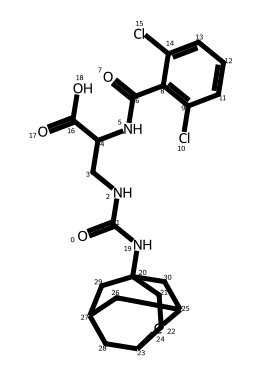 O=C(NCC(NC(=O)c1c(Cl)cccc1Cl)C(=O)O)NC12CCC3CC(CC(C3)C1)C2